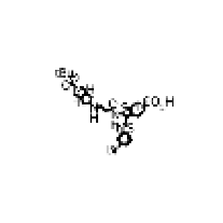 CC(C)(C)OC(=O)N1C[C@H]2C[C@H](NCCC(=O)Nc3sc4c(c3-c3nc5cc(Br)ccc5s3)CCN(C(=O)O)C4)C[C@H]2C1